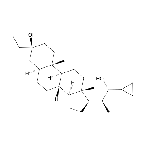 CC[C@]1(O)CC[C@@]2(C)[C@@H](CC[C@@H]3[C@@H]2CC[C@]2(C)[C@@H]([C@H](C)[C@H](O)C4CC4)CC[C@@H]32)C1